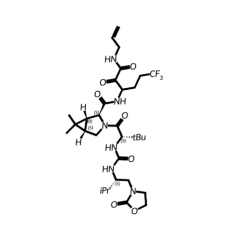 C=CCNC(=O)C(=O)C(CCC(F)(F)F)NC(=O)[C@@H]1[C@@H]2[C@H](CN1C(=O)[C@@H](NC(=O)N[C@H](CN1CCOC1=O)C(C)C)C(C)(C)C)C2(C)C